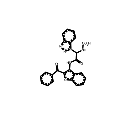 O=C(O)NC(C(=O)Nc1c(C(=O)c2ccccc2)oc2ccccc12)n1nnc2ccccc21